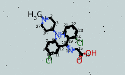 CN1CCC(Nc2ccc(Cl)cc2/C(=N/CC(=O)O)c2ccccc2Cl)CC1